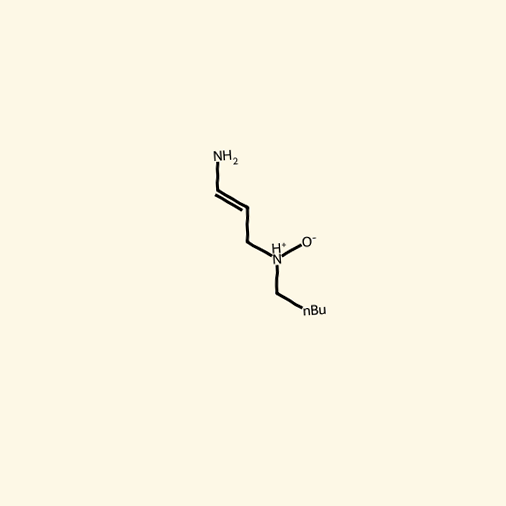 CCCCC[NH+]([O-])CC=CN